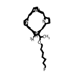 [2H]c1c(C(C)OCCCCCCCF)c2cc3nc(cc4ccc(cc5nc(cc1[nH]2)C=C5)[nH]4)C=C3